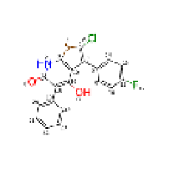 O=c1[nH]c2sc(Cl)c(-c3ccc(F)cc3)c2c(O)c1-c1ccccc1